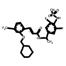 CC(NC(=O)/C=C/c1ccc(C(F)(F)F)cc1OCC1CCCCC1)c1cc(F)c(NS(C)(=O)=O)c(F)c1